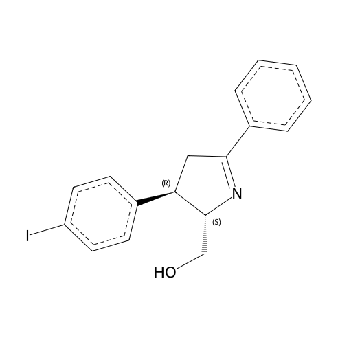 OC[C@H]1N=C(c2ccccc2)C[C@@H]1c1ccc(I)cc1